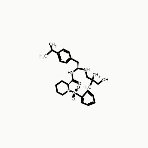 CC(C)c1ccc(C[C@@H](NCC(C)(C)CO)NC(=O)[C@@H]2CCCCN2S(=O)(=O)c2ccccc2)cc1